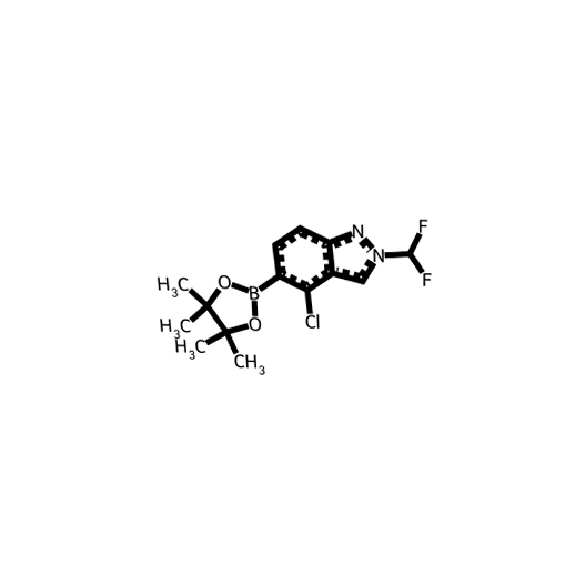 CC1(C)OB(c2ccc3nn(C(F)F)cc3c2Cl)OC1(C)C